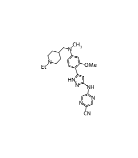 CCN1CCC(CN(C)c2ccc(-c3cc(Nc4cnc(C#N)cn4)n[nH]3)c(OC)c2)CC1